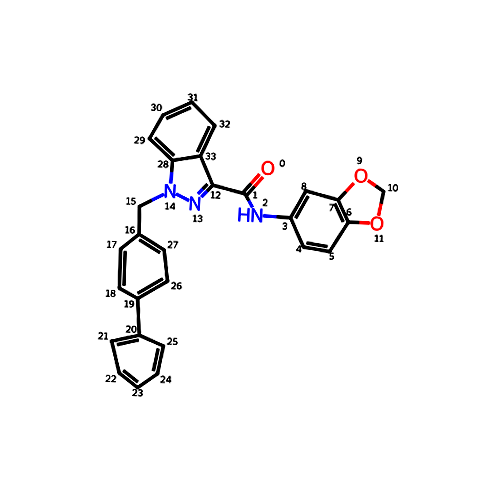 O=C(Nc1ccc2c(c1)OCO2)c1nn(Cc2ccc(-c3ccccc3)cc2)c2ccccc12